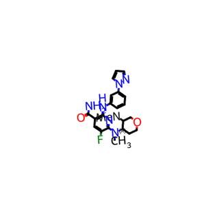 CNC1COCC[C@H]1N(C)c1nc(Nc2cccc(-n3cccn3)c2)c(C(N)=O)cc1F